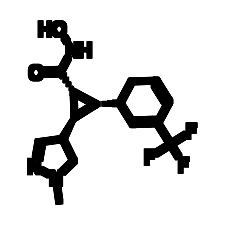 CN1CC([C@H]2[C@H](C(=O)NO)[C@@H]2C2C=C(C(F)(F)F)C=CC2)C=N1